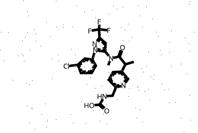 CC(C(=O)N(C)c1cc(C(F)(F)F)nn1-c1cccc(Cl)c1)c1ccc(CNC(=O)O)nc1